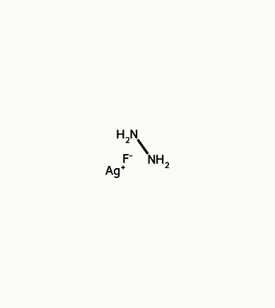 NN.[Ag+].[F-]